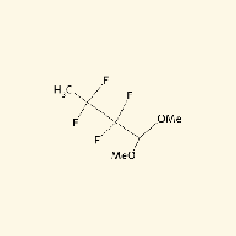 COC(OC)C(F)(F)C(C)(F)F